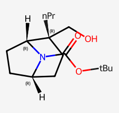 CCC[C@@]1(CO)CC[C@@H]2CC[C@H]1N2C(=O)OC(C)(C)C